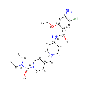 CCOc1cc(N)c(Cl)cc1C(=O)NC1CCN(CC2CCN(C(=O)N(CC)CC)CC2)CC1